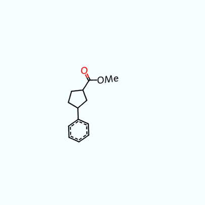 COC(=O)C1CCC(c2ccccc2)C1